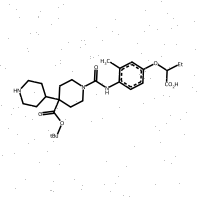 CCC(Oc1ccc(NC(=O)N2CCC(C(=O)OC(C)(C)C)(C3CCNCC3)CC2)c(C)c1)C(=O)O